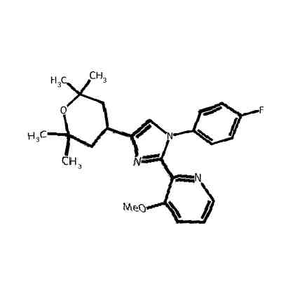 COc1cccnc1-c1nc(C2CC(C)(C)OC(C)(C)C2)cn1-c1ccc(F)cc1